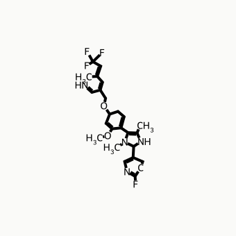 COC1=CC(OC/C(C=N)=C/C(C)=C/C(F)(F)F)CC=C1C1=C(C)NC(C2=CN=C(F)CC2)N1C